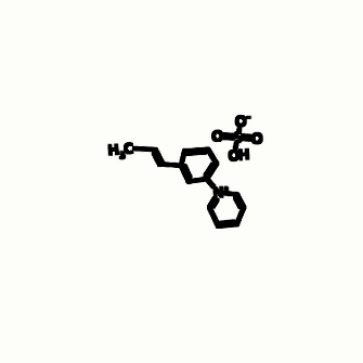 CC=Cc1cccc(-[n+]2ccccc2)c1.O=S(=O)([O-])O